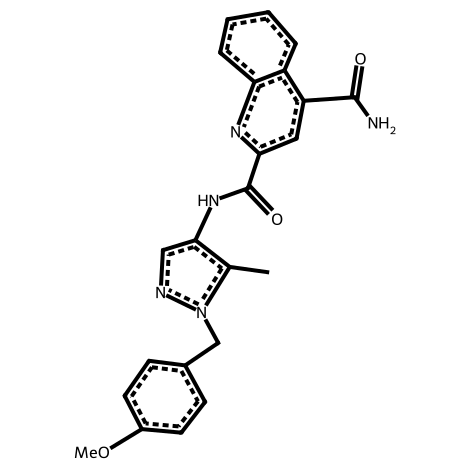 COc1ccc(Cn2ncc(NC(=O)c3cc(C(N)=O)c4ccccc4n3)c2C)cc1